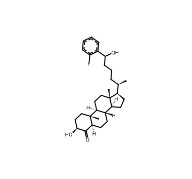 C[C@H](CCCC(O)c1ccccc1F)[C@H]1CC[C@H]2[C@@H]3CC[C@H]4C(=O)[C@@H](O)CC[C@]4(C)[C@H]3CC[C@]12C